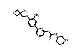 Cc1cc(-c2cncc(NC(=O)N[C@H]3CCCNC3)n2)ccc1OCC1(C)COC1